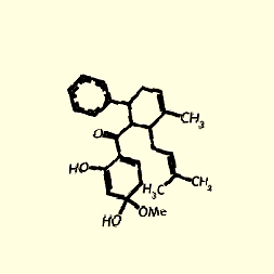 COC1(O)C=C(O)C(C(=O)C2C(CC=C(C)C)C(C)=CCC2c2ccccc2)=CC1